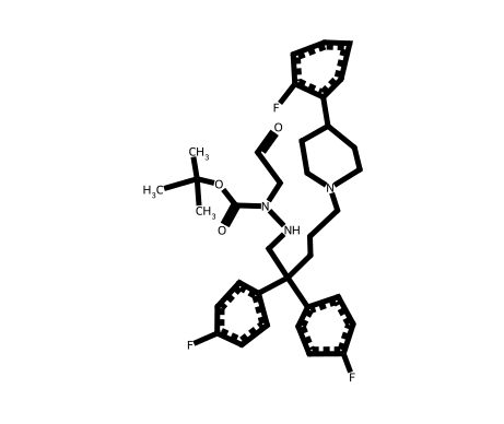 CC(C)(C)OC(=O)N(CC=O)NCC(CCCN1CCC(c2ccccc2F)CC1)(c1ccc(F)cc1)c1ccc(F)cc1